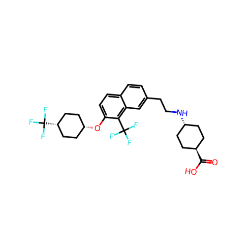 O=C(O)[C@H]1CC[C@H](NCCc2ccc3ccc(O[C@H]4CC[C@@H](C(F)(F)F)CC4)c(C(F)(F)F)c3c2)CC1